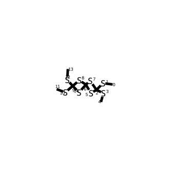 CSC1(SC)SC2(S1)SC(SC)(SC)S2